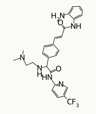 CN(C)CCNC(C(=O)Nc1ccc(C(F)(F)F)cn1)c1ccc(C=CC(=O)Nc2ccccc2N)cc1